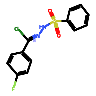 O=S(=O)(N/N=C(\Cl)c1ccc(F)cc1)c1ccccc1